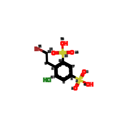 Cl.O=S(=O)(O)c1ccc(CCBr)c(S(=O)(=O)O)c1